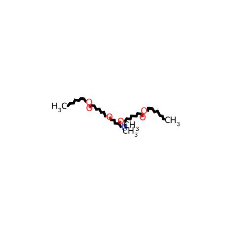 CCCCCC/C=C\COC(=O)CCCCCCOCCCC(CN(C)C)OCCCCCCC(=O)OC/C=C\CCCCCC